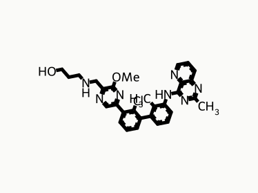 COc1nc(-c2cccc(-c3cccc(Nc4nc(C)nc5cccnc45)c3C)c2Cl)cnc1CNCCCO